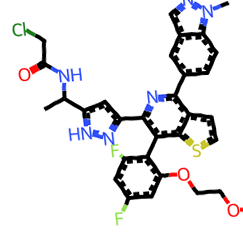 COCCOc1cc(F)cc(F)c1-c1c(-c2cc(C(C)NC(=O)CCl)[nH]n2)nc(-c2ccc3c(cnn3C)c2)c2ccsc12